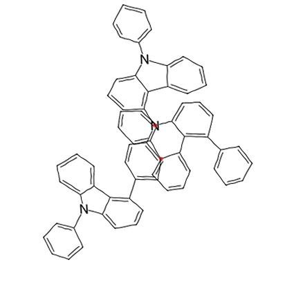 c1ccc(-c2ccccc2-c2c(-c3ccccc3)cccc2N(c2ccc(-c3cccc4c3c3ccccc3n4-c3ccccc3)cc2)c2cccc3c2c2ccccc2n3-c2ccccc2)cc1